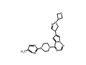 Cc1cnc(N2CCN(c3ncnn4cc(C5C=NN(C6COC6)C5)cc34)CC2)nc1